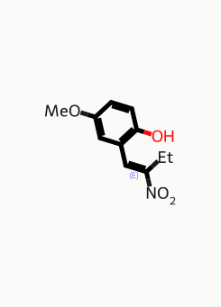 CC/C(=C\c1cc(OC)ccc1O)[N+](=O)[O-]